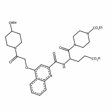 CCOC(=O)N1CCN(C(=O)C(CCC(=O)O)NC(=O)c2cc(OCC(=O)N3CCC(OC)CC3)c3ccccc3n2)CC1